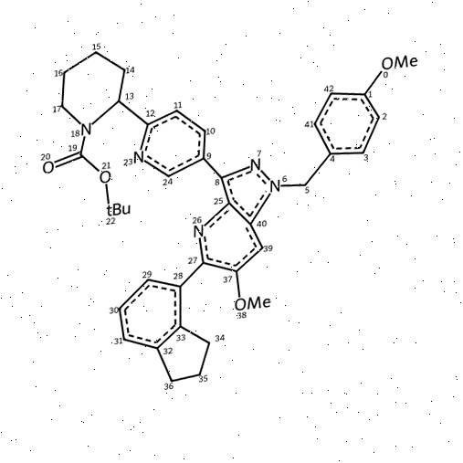 COc1ccc(Cn2nc(-c3ccc(C4CCCCN4C(=O)OC(C)(C)C)nc3)c3nc(-c4cccc5c4CCC5)c(OC)cc32)cc1